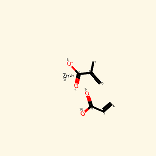 C=C(C)C(=O)[O-].C=CC(=O)[O-].[Zn+2]